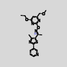 CCOc1cc(COC)nc(O/N=C(\C)c2sc(-c3cccnc3)nc2C)n1